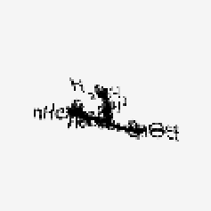 CCCCCCCCC(CCCCCCCC)OC(=O)CCCCCCCN(CCCCCCCCOC(=O)C(CCCCCC)CCCCCCCC)CCOC(=O)NCCCN(C)C